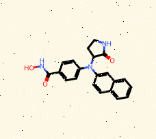 O=C(NO)c1ccc(N(c2ccc3ccccc3c2)C2CCNC2=O)cc1